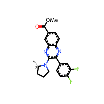 COC(=O)c1ccc2nc(-c3ccc(F)c(F)c3)c(N3CCC[C@@H]3C)nc2c1